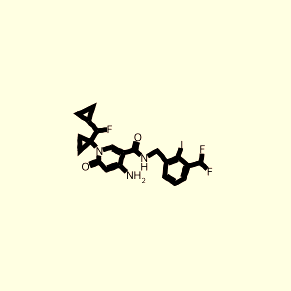 Nc1cc(=O)n(C2(C(F)C3CC3)CC2)cc1C(=O)NCc1cccc(C(F)F)c1I